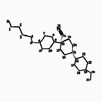 CCCCCCC1CCC([C@]2(C#N)CC[C@@H](C3CCC(CC)CC3)CC2)CC1